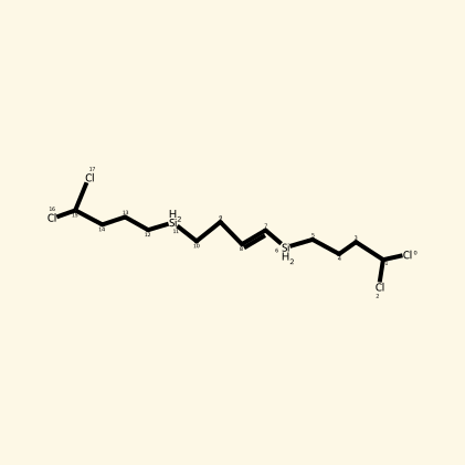 ClC(Cl)CCC[SiH2]C=CCC[SiH2]CCCC(Cl)Cl